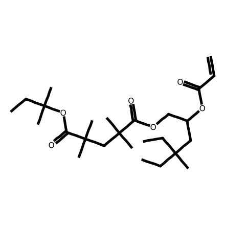 C=CC(=O)OC(COC(=O)C(C)(C)CC(C)(C)C(=O)OC(C)(C)CC)CC(C)(CC)CC